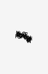 O=C(C1CCN(c2ccnc3ccnn23)C[C@@H]1F)N1CCOc2c(F)cncc2C1